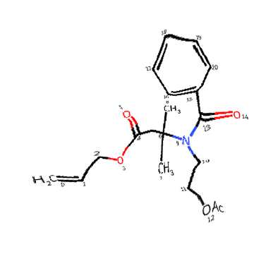 C=CCOC(=O)C(C)(C)N(CCOC(C)=O)C(=O)c1ccccc1